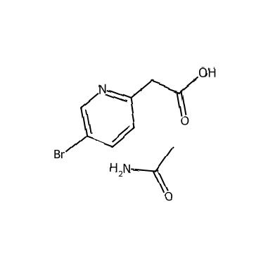 CC(N)=O.O=C(O)Cc1ccc(Br)cn1